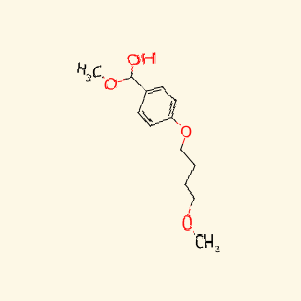 COCCCCOc1ccc(C(O)OC)cc1